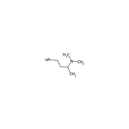 CCCCCC(C)N(C)C